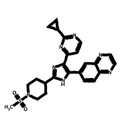 CS(=O)(=O)N1CCC(c2nc(-c3ccnc(C4CC4)n3)c(-c3ccc4nccnc4c3)[nH]2)CC1